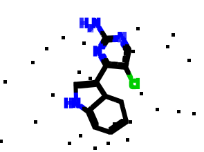 Nc1ncc(Cl)c(C2=CNC3=CC=CCC32)n1